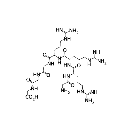 N=C(N)NCCC[C@H](NC(=O)CN)C(=O)N[C@@H](CCCNC(=N)N)C(=O)N[C@@H](CCCNC(=N)N)C(=O)NCC(=O)NCC(=O)NCC(=O)O